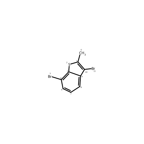 Cc1sc2c(Br)cccc2c1Br